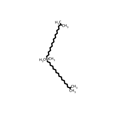 CC(C)CCCCCCCCCCCCCCC[N+](C)(C)CCCCCCCCCCCCCCCC(C)C